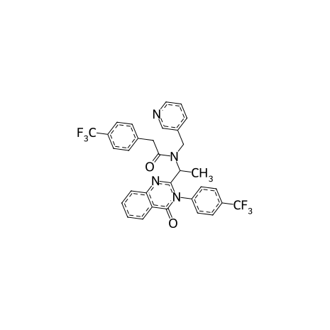 CC(c1nc2ccccc2c(=O)n1-c1ccc(C(F)(F)F)cc1)N(Cc1cccnc1)C(=O)Cc1ccc(C(F)(F)F)cc1